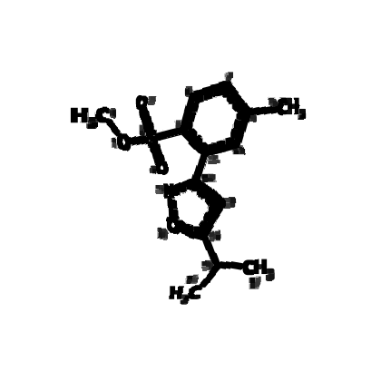 COS(=O)(=O)c1ccc(C)cc1-c1cc(C(C)C)on1